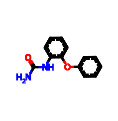 NC(=O)Nc1ccccc1Oc1ccccc1